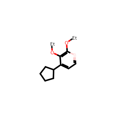 CCOc1bccc(C2CCCC2)c1OCC